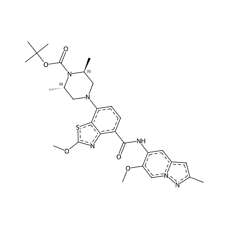 COc1nc2c(C(=O)Nc3cc4cc(C)nn4cc3OC)ccc(N3C[C@H](C)N(C(=O)OC(C)(C)C)[C@@H](C)C3)c2s1